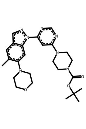 Cc1cc2cnn(-c3cc(N4CCN(C(=O)OC(C)(C)C)CC4)ncn3)c2cc1N1CCOCC1